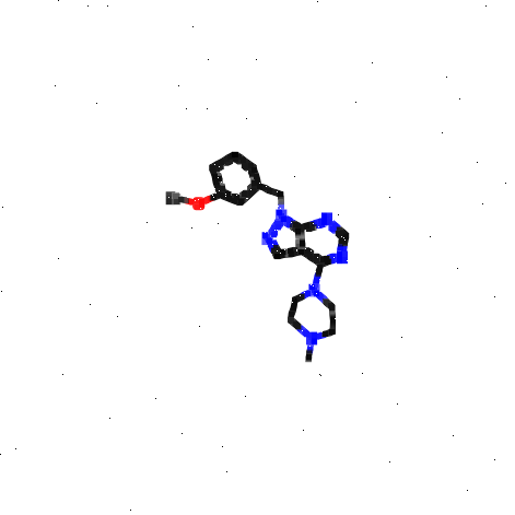 CCOc1cccc(Cn2ncc3c(N4CCN(C)CC4)ncnc32)c1